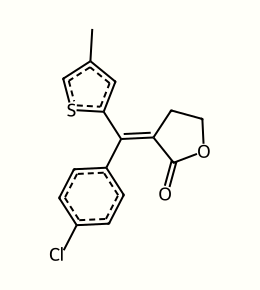 Cc1csc(C(=C2CCOC2=O)c2ccc(Cl)cc2)c1